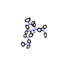 c1ccc(N(c2ccc3nc(N(c4ccccc4)c4ccc5c(c4)c4ccccc4n5-c4ccccc4)nc(-n4c5ccccc5c5ccc(N(c6ccccc6)c6ccccc6)cc54)c3c2)c2ccc3c4ccccc4n(-c4ccccc4)c3c2)cc1